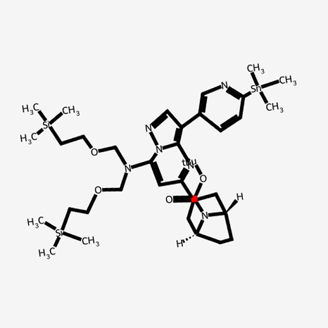 CC(C)(C)OC(=O)N1[C@H]2CC[C@H]1CC(c1cc(N(COCC[Si](C)(C)C)COCC[Si](C)(C)C)n3ncc(-c4cc[c]([Sn]([CH3])([CH3])[CH3])nc4)c3n1)C2